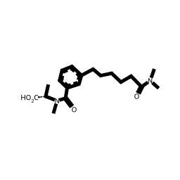 C[C@@H](C(=O)O)N(C)C(=O)c1cccc(CCCCCC(=O)N(C)C)c1